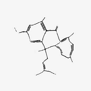 COc1cc(O)c2c(c1)C(O)(CC=C(C)C)c1cc(C)cc(O)c1C2=O